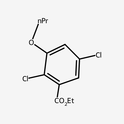 CCCOc1cc(Cl)cc(C(=O)OCC)c1Cl